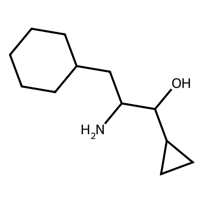 NC(CC1CCCCC1)C(O)C1CC1